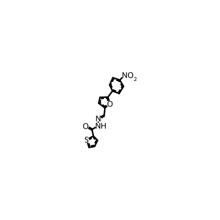 O=C(NN=Cc1ccc(-c2ccc([N+](=O)[O-])cc2)o1)c1cccs1